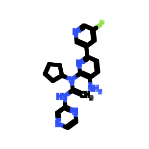 C=C(Nc1cnccn1)N(c1nc(-c2cncc(F)c2)ccc1N)C1CCCC1